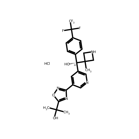 CC(C)(O)c1nc(-c2cncc([C@@](O)(c3ccc(C(F)(F)C(F)(F)F)cc3)C3(C)CNC3)c2)no1.Cl